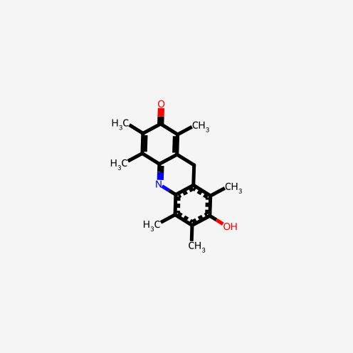 CC1=C(C)C2=Nc3c(C)c(C)c(O)c(C)c3CC2=C(C)C1=O